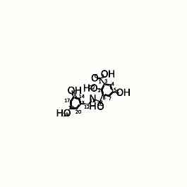 O=C(O)c1cc(O)cc(C(=O)NCc2cc(O)cc(O)c2)c1O